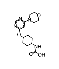 O=C(O)N[C@H]1CC[C@H](Oc2cc(N3CCOCC3)ncn2)CC1